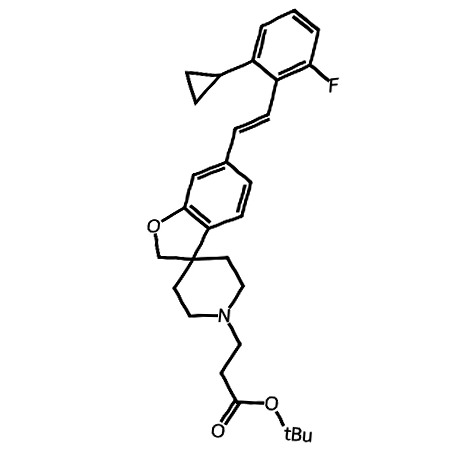 CC(C)(C)OC(=O)CCN1CCC2(CC1)COc1cc(C=Cc3c(F)cccc3C3CC3)ccc12